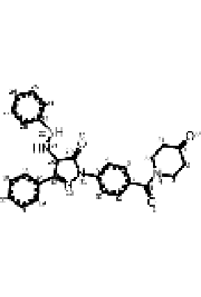 O=C1CCN(C(=O)c2ccc(N3N=C(c4ccccc4)C(NNc4ccccc4)C3=O)cc2)CC1